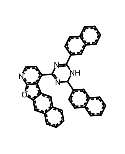 c1ccc2cc(C3=NC(c4ccnc5oc6cc7ccccc7cc6c45)=NC(c4ccc5ccccc5c4)N3)ccc2c1